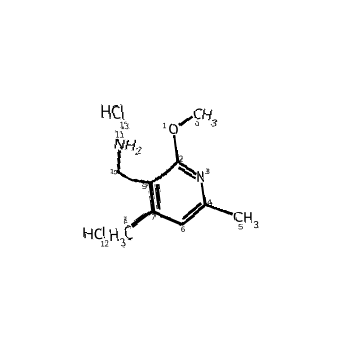 COc1nc(C)cc(C)c1CN.Cl.Cl